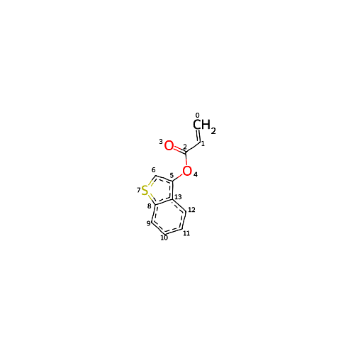 C=CC(=O)Oc1csc2ccccc12